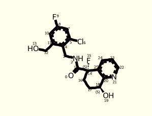 O=C(NCc1c(Cl)cc(F)cc1CO)[C@]1(F)CC[C@H](O)c2ncccc21